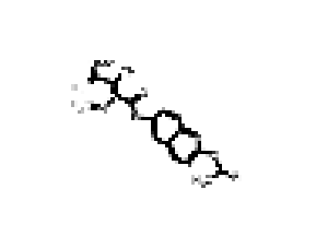 C=N/C(C(=O)Nc1ccc2nc(OC(C)C(C)C)ccc2c1)=C(/O)C(=C)OC